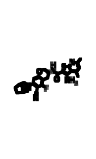 Cc1cc(C)c2c(N)c(C(=O)N[C@H]3COc4cc(N5CC6CCC(C5)N6)c(C#N)c(F)c4C3)sc2n1